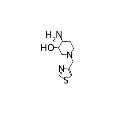 N[C@H]1CCN(Cc2cscn2)C[C@H]1O